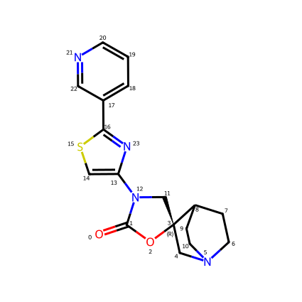 O=C1O[C@]2(CN3CCC2CC3)CN1c1csc(-c2cccnc2)n1